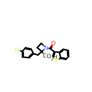 O=C(c1csc2ccccc12)N1CCC1(Cc1ccc(F)cc1)C(=O)O